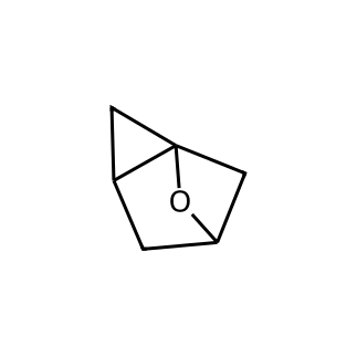 C1C2CC3(CC13)O2